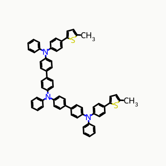 Cc1ccc(-c2ccc(N(c3ccccc3)c3ccc(-c4ccc(N(c5ccccc5)c5ccc(-c6ccc(N(c7ccccc7)c7ccc(-c8ccc(C)s8)cc7)cc6)cc5)cc4)cc3)cc2)s1